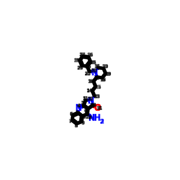 Nc1c2c(nc3ccccc13)CN(CCCCC1CCCCN1Cc1ccccc1)C2=O